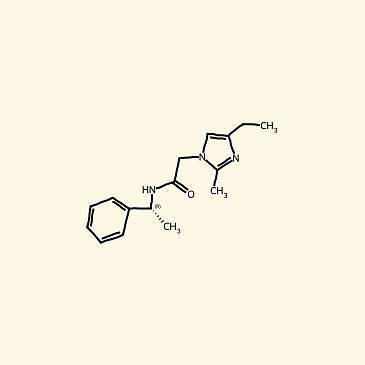 CCc1cn(CC(=O)N[C@H](C)c2ccccc2)c(C)n1